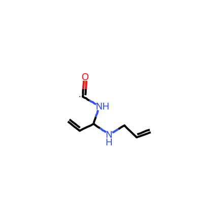 C=CCNC(C=C)N[C]=O